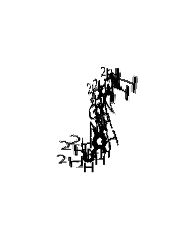 [2H]c1c(-n2c([2H])c([2H])c([2H])c2[2H])c([2H])c2nc([S+]([O-])C([2H])([2H])c3nccc(OC([2H])([2H])[2H])c3C([2H])([2H])[2H])n([2H])c2c1[2H]